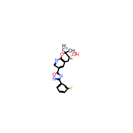 CC1(C)Oc2ncc(-c3nc(-c4cccc(F)c4)no3)cc2C[C@H]1O